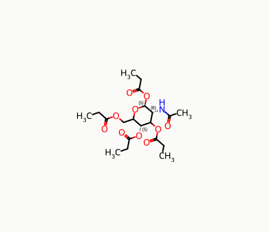 CCC(=O)OCC1O[C@@H](OC(=O)CC)[C@H](NC(C)=O)C(OC(=O)CC)[C@@H]1OC(=O)CC